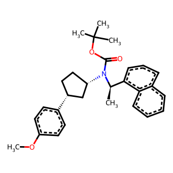 COc1ccc([C@@H]2CC[C@H](N(C(=O)OC(C)(C)C)[C@H](C)c3cccc4ccccc34)C2)cc1